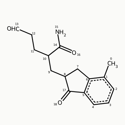 Cc1cccc2c1CC(CC(CCC=O)C(N)=O)C2=O